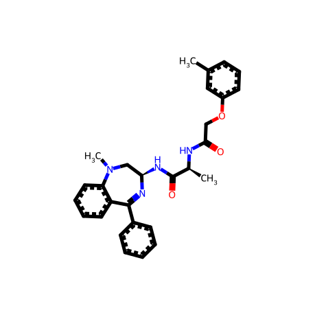 Cc1cccc(OCC(=O)N[C@@H](C)C(=O)N[C@@H]2CN(C)c3ccccc3C(c3ccccc3)=N2)c1